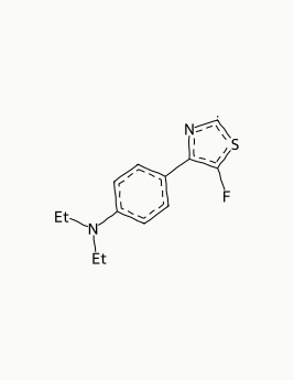 CCN(CC)c1ccc(-c2n[c]sc2F)cc1